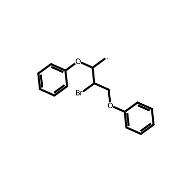 [CH2]C(Oc1ccccc1)C(Br)COc1ccccc1